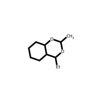 CCC1OC(C)OC2CCCCC12